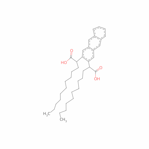 CCCCCCCCCCC(C(=O)O)c1cc2cc3ccccc3cc2cc1C(CCCCCCCCCC)C(=O)O